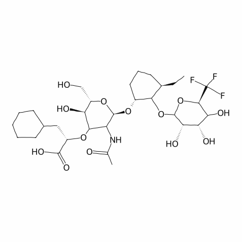 CC[C@@H]1CCC[C@@H](O[C@@H]2O[C@@H](CO)[C@H](O)C(O[C@@H](CC3CCCCC3)C(=O)O)C2NC(C)=O)C1OC1O[C@@H](C(F)(F)F)C(O)[C@H](O)[C@@H]1O